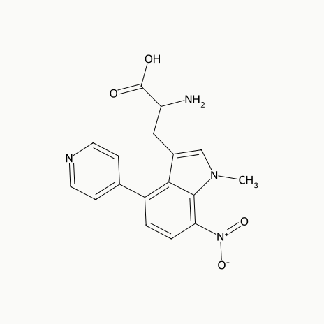 Cn1cc(CC(N)C(=O)O)c2c(-c3ccncc3)ccc([N+](=O)[O-])c21